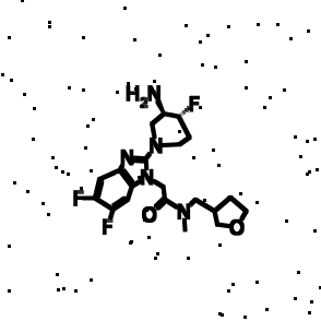 CN(CC1CCOC1)C(=O)Cn1c(N2CC[C@@H](F)[C@H](N)C2)nc2cc(F)c(F)cc21